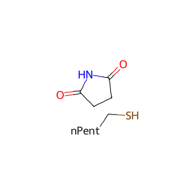 CCCCCCS.O=C1CCC(=O)N1